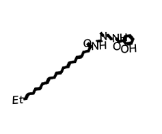 CCC=CCC=CCC=CCC=CCC=CCC=CCCC(=O)NCCN(C)CCNC(=O)c1ccccc1O